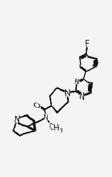 CN(C(=O)C1CCN(c2nccc(-c3ccc(F)cc3)n2)CC1)C1CN2CCC1CC2